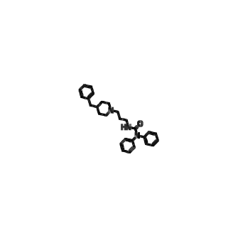 O=C(NCCCN1CCC(Cc2ccccc2)CC1)N(c1ccccc1)c1ccccc1